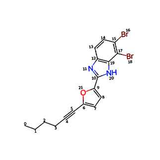 CCCCC#Cc1ccc(-c2nc3ccc(Br)c(Br)c3[nH]2)o1